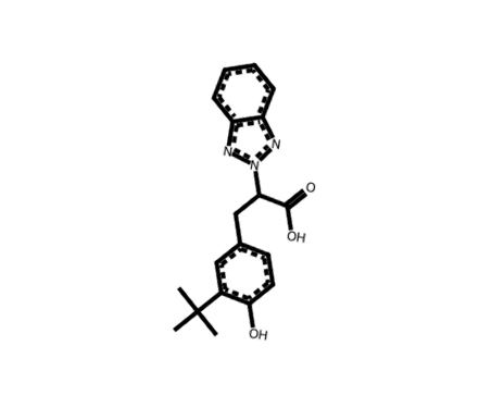 CC(C)(C)c1cc(CC(C(=O)O)n2nc3ccccc3n2)ccc1O